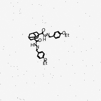 CCOc1ccc(/C=N/NC(=O)C23CC4CC(C2)CC(C(=O)N/N=C/c2ccc(OCC)cc2)(C4)C3)cc1